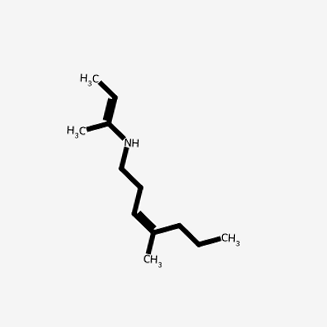 C/C=C(\C)NCC/C=C(/C)CCC